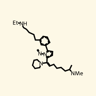 C=Nn1c(/C(=C\CCCCC(C)NC)N2CCCCC2)ccc1-c1cccc(CCCCCNCC)c1